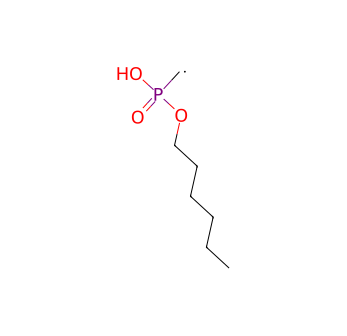 [CH2]P(=O)(O)OCCCCCC